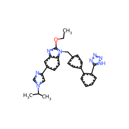 CCOc1nc2cc(-c3cn(C(C)C)cn3)ccc2n1Cc1ccc(-c2ccccc2-c2nnn[nH]2)cc1